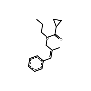 CCCN(C/C(C)=C\c1ccccc1)C(=O)C1CC1